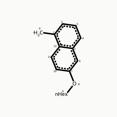 [CH2]c1cccc2cc(OCCCCCC)ccc12